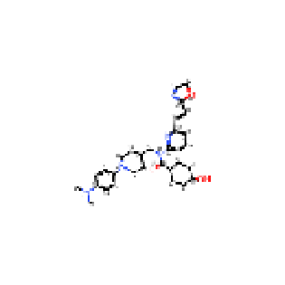 CN(C)c1ccc(N2CCC(CN(C(=O)C3CCC(O)CC3)c3cccc(C=Cc4ncco4)n3)CC2)cc1